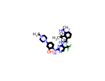 CNc1cccc(CNc2nc(Nc3ccc(N4CCN(C)CC4)cc3O)ncc2C(F)(F)F)c1C(C)(C)C